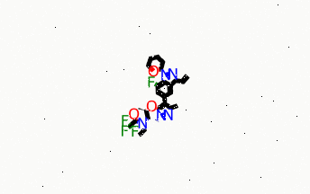 C=Cc1nn(C2CCCCO2)c2c(F)cc(-c3c(C)nn(C)c3O[C@@H](C)CN(CC)C(=O)C(F)(F)F)cc12